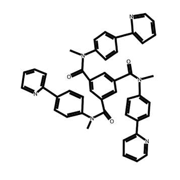 CN(C(=O)c1cc(C(=O)N(C)c2ccc(-c3ccccn3)cc2)cc(C(=O)N(C)c2ccc(-c3ccccn3)cc2)c1)c1ccc(-c2ccccn2)cc1